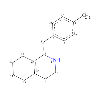 Cc1ccc(C[C@@H]2NCCC3=C2CCCC3)cc1